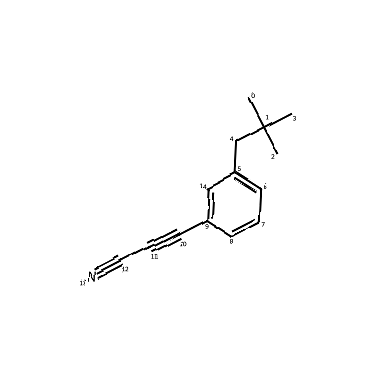 CC(C)(C)Cc1cccc(C#CC#N)c1